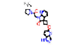 O=C(CN1C(=O)C2(CC(Oc3ccc4[nH]ncc4n3)C2)c2cccnc21)N1CCC[C@@H]1CC(F)(F)F